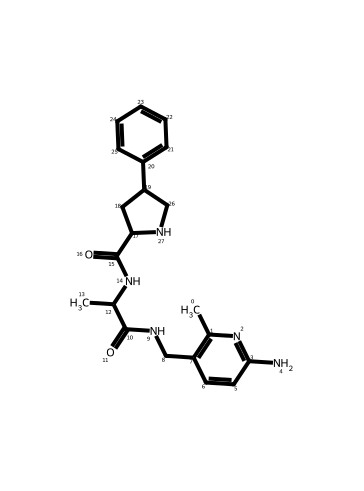 Cc1nc(N)ccc1CNC(=O)C(C)NC(=O)C1CC(c2ccccc2)CN1